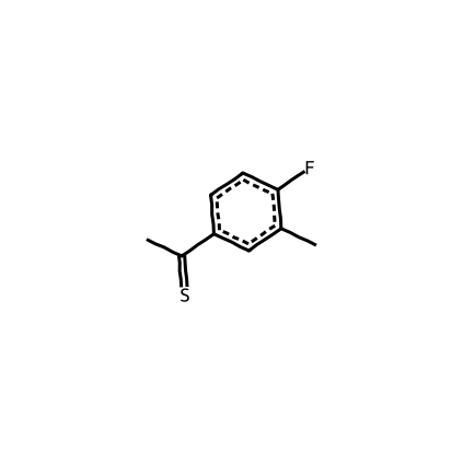 CC(=S)c1ccc(F)c(C)c1